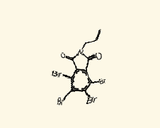 C=CCN1C(=O)c2c(Br)c(Br)c(Br)c(Br)c2C1=O